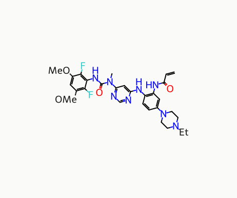 C=CC(=O)Nc1cc(N2CCN(CC)CC2)ccc1Nc1cc(N(C)C(=O)Nc2c(F)c(OC)cc(OC)c2F)ncn1